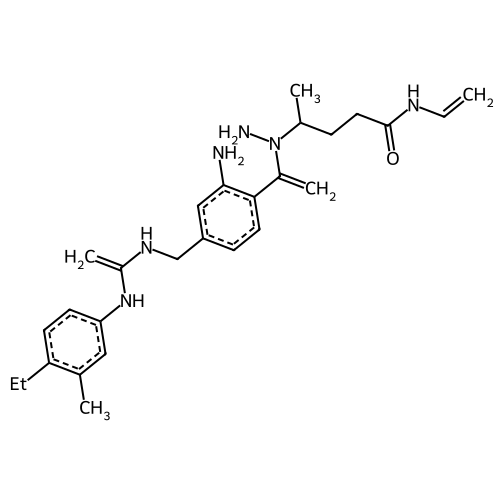 C=CNC(=O)CCC(C)N(N)C(=C)c1ccc(CNC(=C)Nc2ccc(CC)c(C)c2)cc1N